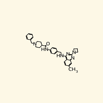 Cc1ccc2c(NCc3ccc(NC(=O)C4CCN(Cc5ccccc5)CC4)cc3)nc(N3CCC3)nc2c1